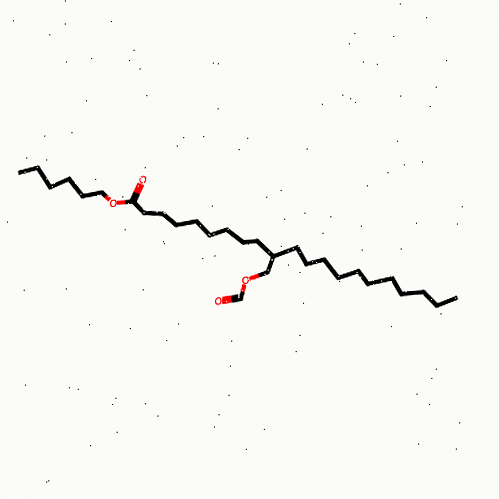 CCCCCCCCCCCC(CCCCCCCCC(=O)OCCCCCC)COC=O